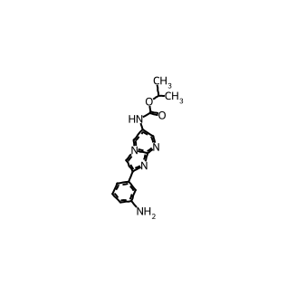 CC(C)OC(=O)Nc1cnc2nc(-c3cccc(N)c3)cn2c1